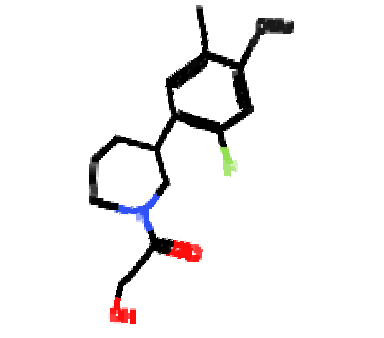 COc1cc(F)c(C2CCCN(C(=O)CO)C2)cc1C